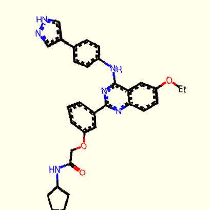 CCOc1ccc2nc(-c3cccc(OCC(=O)NC4CCCC4)c3)nc(Nc3ccc(-c4cn[nH]c4)cc3)c2c1